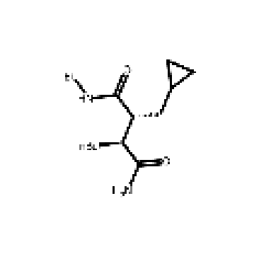 CCCC[C@H](C(N)=O)[C@@H](CC1CC1)C(=O)NCC